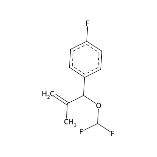 C=C(C)C(OC(F)F)c1ccc(F)cc1